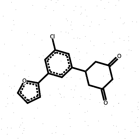 O=C1CC(=O)CC(c2cc(Cl)cc(-c3ccco3)c2)C1